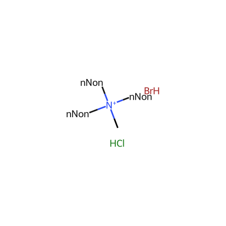 Br.CCCCCCCCC[N+](C)(CCCCCCCCC)CCCCCCCCC.Cl